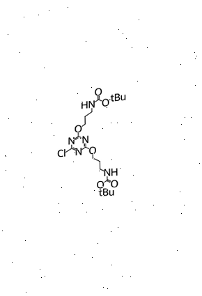 CC(C)(C)OC(=O)NCCCOc1nc(Cl)nc(OCCCNC(=O)OC(C)(C)C)n1